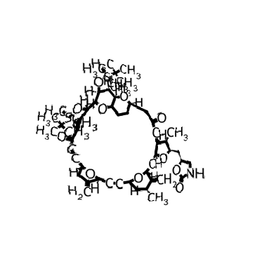 C=C1C[C@@H]2CCC(=O)/C=C/[C@H](O[Si](C)(C)C(C)(C)C)[C@@H]3OC4CC[C@H](CC(=O)C[C@@H]5[C@@H](C)[C@@H](C[C@H]6CNC(=O)O6)O[C@H]5C[C@H]5O[C@@H](CC[C@@H]1O2)C[C@@H](C)C5=C)O[C@@H]4[C@H](C)[C@@H]3O[Si](C)(C)C(C)(C)C